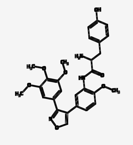 COc1ccc(-c2conc2-c2cc(OC)c(OC)c(OC)c2)cc1NC(=O)C(N)Cc1ccc(O)cc1